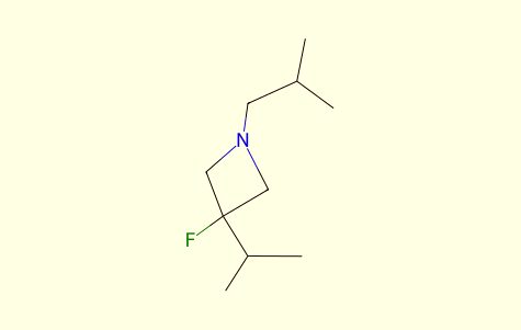 CC(C)CN1CC(F)(C(C)C)C1